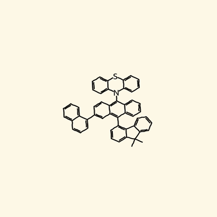 CC1(C)c2ccccc2-c2c(-c3c4ccccc4c(N4c5ccccc5Sc5ccccc54)c4ccc(-c5cccc6ccccc56)cc34)cccc21